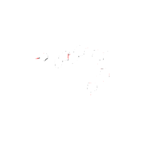 CC1O[C@@H](O[C@@H]2C(C)O[C@@H](O[C@@H]3C(C)O[C@@H](OC4CC[C@@]5(C)[C@H](CC[C@@H]6[C@@H]5C[C@@H](O)[C@]5(C)[C@@H](C7=CC(=O)OC7)CC[C@]65O)C4)C[C@H]3O)C[C@H]2O)C[C@@H](O)[C@@H]1O